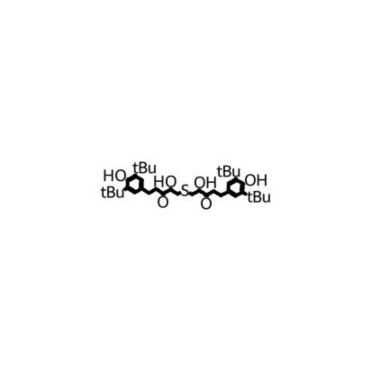 CC(C)(C)c1cc(CCC(=O)C(O)CSCC(O)C(=O)CCc2cc(C(C)(C)C)c(O)c(C(C)(C)C)c2)cc(C(C)(C)C)c1O